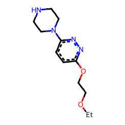 CCOCCOc1ccc(N2CCNCC2)nn1